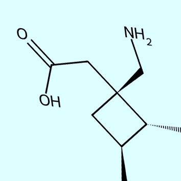 C[C@@H]1[C@@H](C)C[C@]1(CN)CC(=O)O